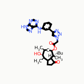 CCC(C)[C@]1(C)[C@@H]2C(=O)CCC2[C@@H](C)[C@H](O)[C@@H](C)C[C@H]1OC(=O)Cn1cc(-c2cccc(Nc3ncnc4[nH]cnc34)c2)nn1